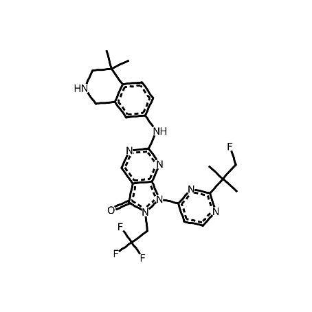 CC(C)(CF)c1nccc(-n2c3nc(Nc4ccc5c(c4)CNCC5(C)C)ncc3c(=O)n2CC(F)(F)F)n1